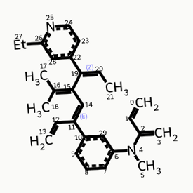 C=CC(=C)N(C)c1cccc(/C(C=C)=C/C(=C(C)C)/C(=C\C)c2ccnc(CC)c2)c1